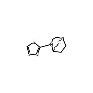 c1nnc(N2CCN3CCC2CC3)s1